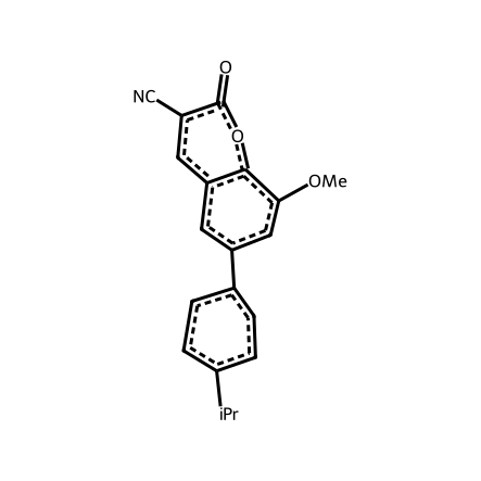 COc1cc(-c2ccc(C(C)C)cc2)cc2cc(C#N)c(=O)oc12